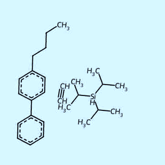 C#C.CC(C)[SiH](C(C)C)C(C)C.CCCCc1ccc(-c2ccccc2)cc1